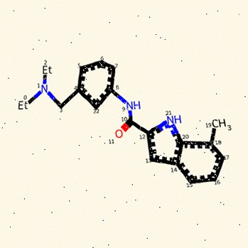 CCN(CC)Cc1cccc(NC(=O)c2cc3cccc(C)c3[nH]2)c1